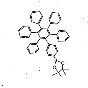 CC1(C)OB(c2ccc(-c3c(-c4ccccc4)c(-c4ccccc4)c(-c4ccccc4)c(-c4ccccc4)c3-c3ccccc3)cc2)OC1(C)C